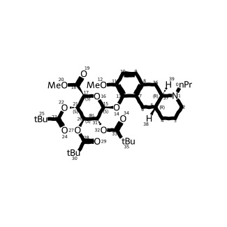 CCCN1CCC[C@@H]2Cc3c(ccc(OC)c3O[C@@H]3O[C@H](C(=O)OC)[C@@H](OC(=O)C(C)(C)C)[C@H](OC(=O)C(C)(C)C)[C@H]3OC(=O)C(C)(C)C)C[C@H]21